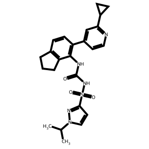 CC(C)n1ccc(S(=O)(=O)NC(=O)Nc2c(-c3ccnc(C4CC4)c3)ccc3c2CCC3)n1